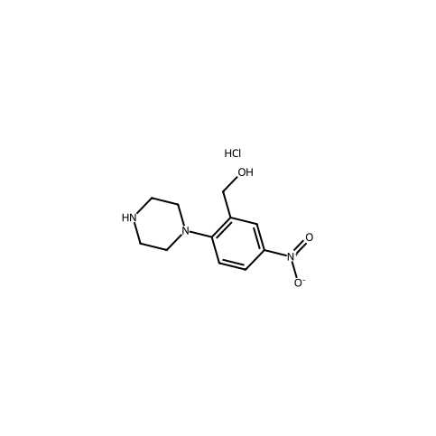 Cl.O=[N+]([O-])c1ccc(N2CCNCC2)c(CO)c1